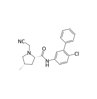 C[C@H]1C[C@@H](C(=O)Nc2ccc(Cl)c(-c3ccccc3)c2)N(CC#N)C1